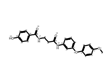 COc1ccc(Oc2cccc(NC(=O)CCNC(=O)c3ccc(O)cc3)c2)cc1